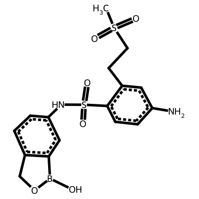 CS(=O)(=O)CCc1cc(N)ccc1S(=O)(=O)Nc1ccc2c(c1)B(O)OC2